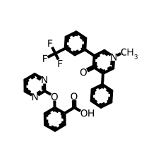 Cn1cc(-c2ccccc2)c(=O)c(-c2cccc(C(F)(F)F)c2)c1.O=C(O)c1ccccc1Oc1ncccn1